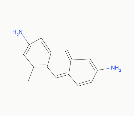 C=c1cc(N)cc/c1=C/c1ccc(N)cc1C